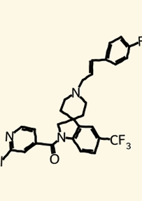 O=C(c1ccnc(Cl)c1)N1CC2(CCN(C/C=C/c3ccc(F)cc3)CC2)c2cc(C(F)(F)F)ccc21